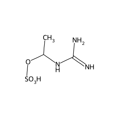 CC(NC(=N)N)OS(=O)(=O)O